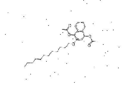 CCCCCCCCCCCCOc1cc(OC(C)=O)c2ccccc2c1OC(C)=O